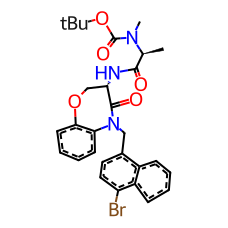 C[C@@H](C(=O)N[C@H]1COc2ccccc2N(Cc2ccc(Br)c3ccccc23)C1=O)N(C)C(=O)OC(C)(C)C